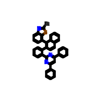 CCc1nc2cccc(-c3c(-c4ccccc4-c4nc(-c5ccccc5)cc(-c5ccccc5)n4)ccc4ccccc34)c2s1